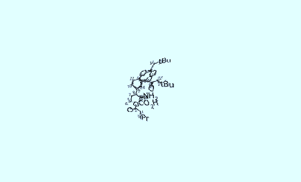 CC(C)CC(=O)OC(C)CC(c1ccc(OC(=O)CC(C)(C)C)c(OC(=O)CC(C)(C)C)c1)[C@H](N)C(=O)O